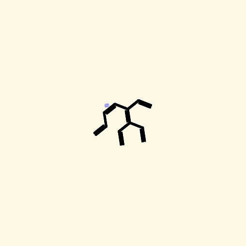 C=C/C=C\C(C=C)=C(C=C)C=C